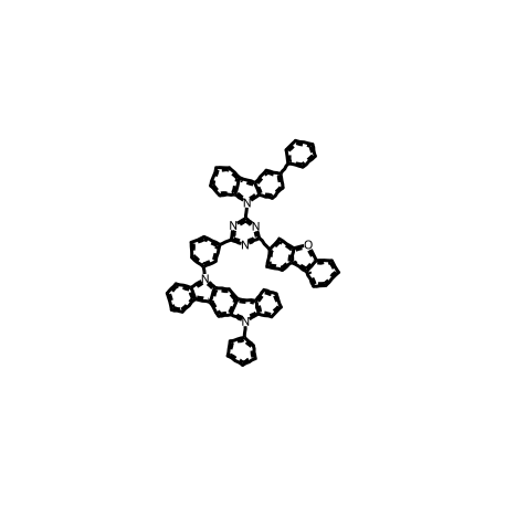 c1ccc(-c2ccc3c(c2)c2ccccc2n3-c2nc(-c3cccc(-n4c5ccccc5c5cc6c(cc54)c4ccccc4n6-c4ccccc4)c3)nc(-c3ccc4c(c3)oc3ccccc34)n2)cc1